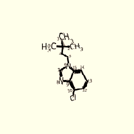 CC(C)(C)CCn1[c]nc2c(Cl)cccc21